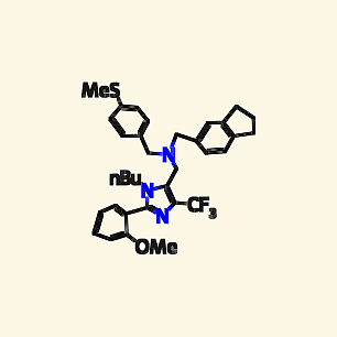 CCCCn1c(-c2ccccc2OC)nc(C(F)(F)F)c1CN(Cc1ccc(SC)cc1)Cc1ccc2c(c1)CCC2